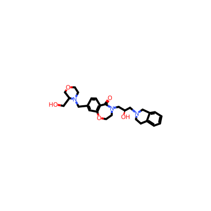 O=C1c2ccc(CN3CCOCC3CO)cc2OCCN1C[C@H](O)CN1CCc2ccccc2C1